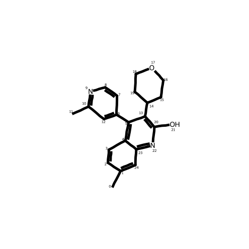 Cc1ccc2c(-c3ccnc(C)c3)c(C3CCOCC3)c(O)nc2c1